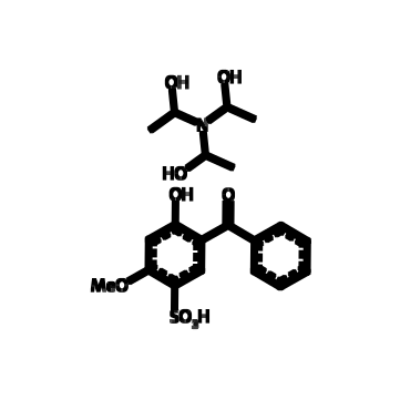 CC(O)N(C(C)O)C(C)O.COc1cc(O)c(C(=O)c2ccccc2)cc1S(=O)(=O)O